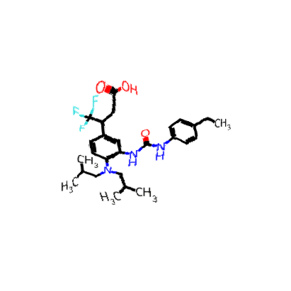 CCc1ccc(NC(=O)Nc2cc(C(CC(=O)O)C(F)(F)F)ccc2N(CC(C)C)CC(C)C)cc1